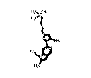 Cc1cc2cnc(-c3nn(COCC[Si](C)(C)C)cc3N)cc2n1CC(F)(F)F